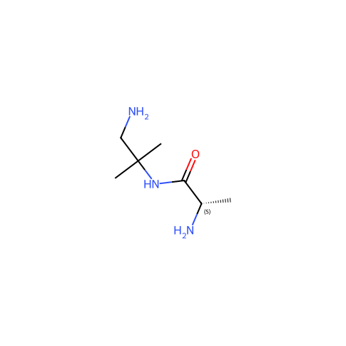 C[C@H](N)C(=O)NC(C)(C)CN